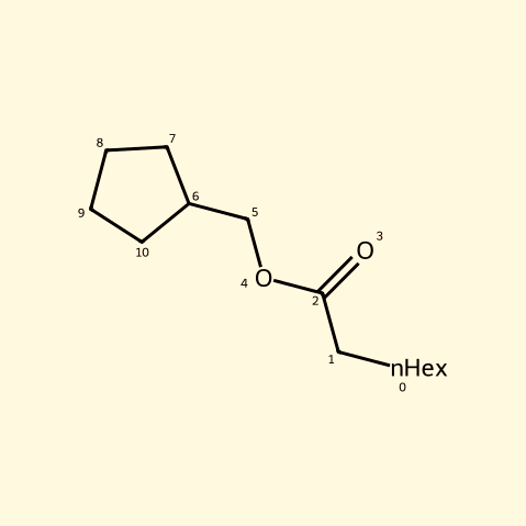 [CH2]CCCCCCC(=O)OCC1CCCC1